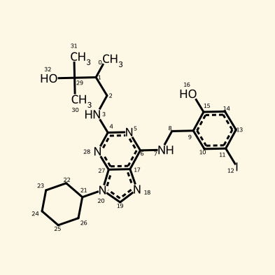 CC(CNc1nc(NCc2cc(I)ccc2O)c2ncn(C3CCCCC3)c2n1)C(C)(C)O